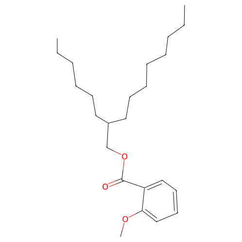 CCCCCCCCC(CCCCCC)COC(=O)c1ccccc1OC